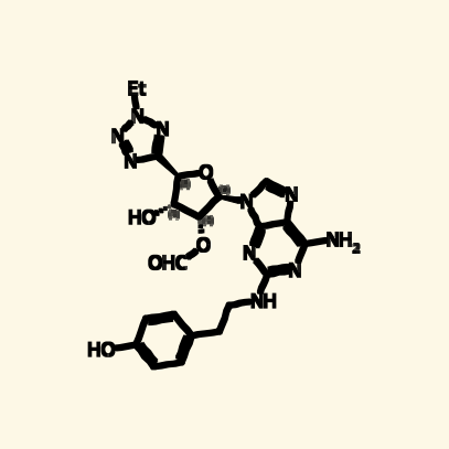 CCn1nnc([C@H]2O[C@@H](n3cnc4c(N)nc(NCCc5ccc(O)cc5)nc43)[C@H](OC=O)[C@@H]2O)n1